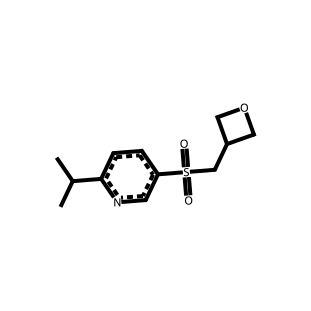 CC(C)c1ccc(S(=O)(=O)CC2COC2)cn1